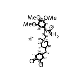 COc1cc(N(CC[N+]2(C)CCC(Cc3ccc(Cl)c(Cl)c3)CC2)C(N)=O)cc(OC)c1OC.[I-]